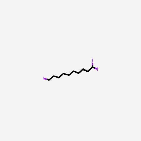 ICCCCCCCCCC(I)I